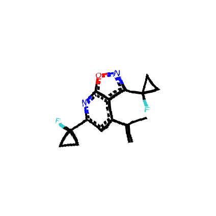 C=C(C)c1cc(C2(F)CC2)nc2onc(C3(F)CC3)c12